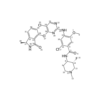 COc1cc(C(=O)NC2CCN(C)C[C@H]2F)c(Cl)cc1Nc1ncc(Cl)c(Oc2cccc3c2C(=O)N[C@H]3C)n1